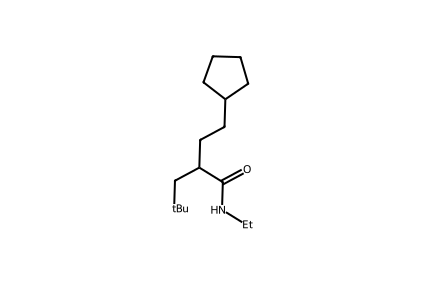 CCNC(=O)C(CCC1CCCC1)CC(C)(C)C